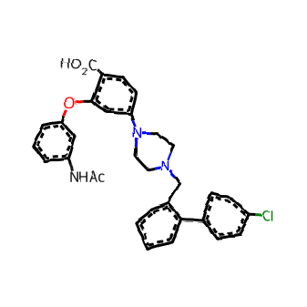 CC(=O)Nc1cccc(Oc2cc(N3CCN(Cc4ccccc4-c4ccc(Cl)cc4)CC3)ccc2C(=O)O)c1